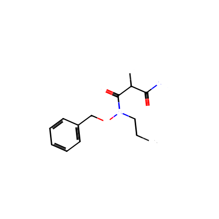 CC(C)C(C(N)=O)C(=O)N(CCC#N)OCc1ccccc1